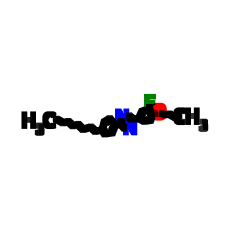 CCCCCCCCCc1ccc(-c2cnc(-c3ccc(OCCCC)c(F)c3)cn2)cc1